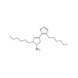 BC1CC(c2sccc2CCCCCC)=CC1CCCCCC